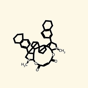 CN1CC2(c3ccc4c(c3)CCCC4)C3C1OC(=O)/C=C\C(=O)OC1C4C5CCC(C4(c4ccc6c(c4)CCCC6)CN1C)C51C3CCC21